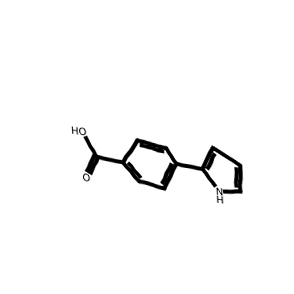 O=C(O)c1ccc(-c2ccc[nH]2)cc1